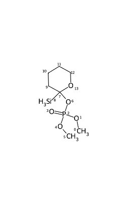 COP(=O)(OC)OC1([SiH3])CCCCO1